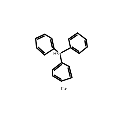 [Cu].c1cc[c]([SnH]([c]2ccccc2)[c]2ccccc2)cc1